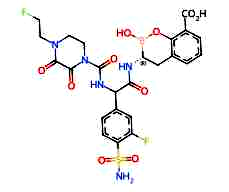 NS(=O)(=O)c1ccc(C(NC(=O)N2CCN(CCF)C(=O)C2=O)C(=O)N[C@H]2Cc3cccc(C(=O)O)c3OB2O)cc1F